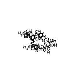 COc1ccc(CC(=O)O[C@@H]2O[C@@H](C(=O)OCc3ccccc3)[C@H](O)[C@@H](O)[C@@H]2O)cc1Oc1ccc(NC(=O)C(C)(C)C)cc1CSC(C)(C)C